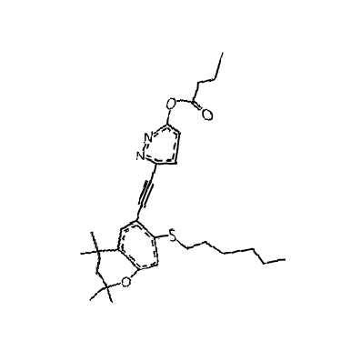 CCCCCCSc1cc2c(cc1C#Cc1ccc(OC(=O)CCC)nn1)C(C)(C)CC(C)(C)O2